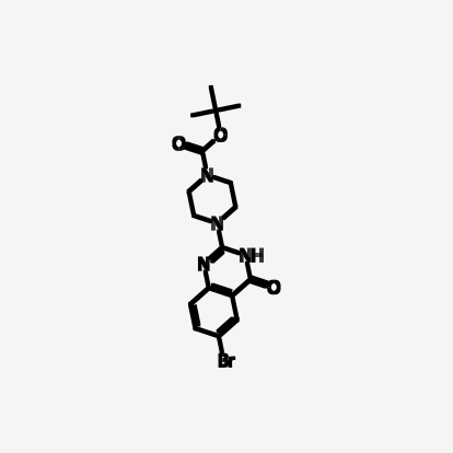 CC(C)(C)OC(=O)N1CCN(c2nc3ccc(Br)cc3c(=O)[nH]2)CC1